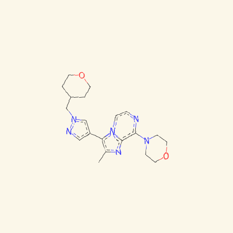 Cc1nc2c(N3CCOCC3)nccn2c1-c1cnn(CC2CCOCC2)c1